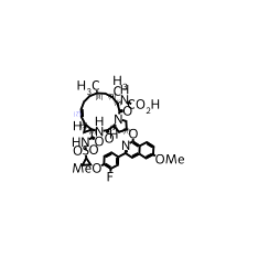 COc1ccc2c(O[C@@H]3C[C@H]4C(=O)N[C@]5(C(=O)NS(=O)(=O)C6CC6)C[C@H]5/C=C\CC[C@@H](C)C[C@@H](C)[C@H](NC(=O)O)C(=O)N4C3)nc(-c3ccc(OC)c(F)c3)cc2c1